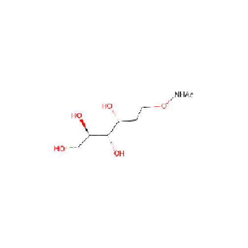 CC(=O)NOCC[C@@H](O)[C@H](O)[C@H](O)CO